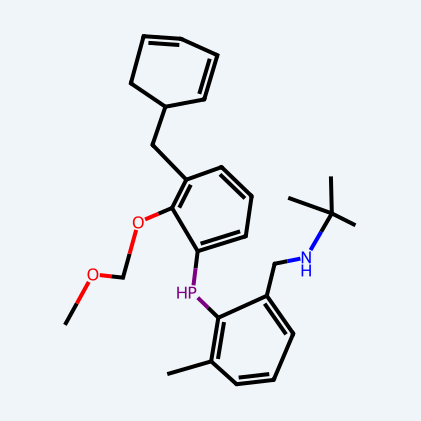 COCOc1c(CC2C=CC=CC2)cccc1Pc1c(C)cccc1CNC(C)(C)C